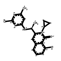 Cc1cc(N[C@@H](C)c2cc3cccc(Cl)c3c(=O)n2C2CC2)nc(Cl)n1